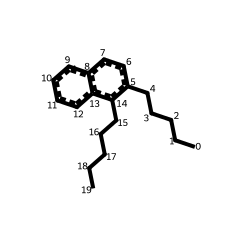 CCCCCc1ccc2[c]cccc2c1CCCCC